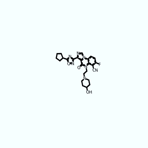 N#Cc1c(F)ccc2c1n(CCN1CCC(O)CC1)c(=O)c1c(-c3noc(C4CCCC4)n3)ncn12